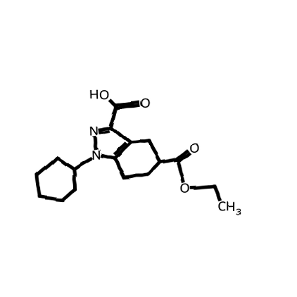 CCOC(=O)C1CCc2c(c(C(=O)O)nn2C2CCCCC2)C1